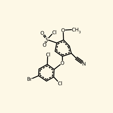 COc1cc(C#N)c(Oc2c(Cl)cc(Br)cc2Cl)cc1S(=O)(=O)Cl